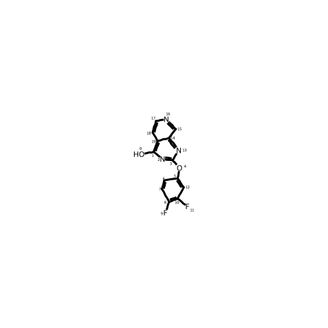 Oc1nc(Oc2ccc(F)c(F)c2)nc2cnccc12